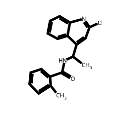 Cc1ccccc1C(=O)NC(C)c1cc(Cl)nc2ccccc12